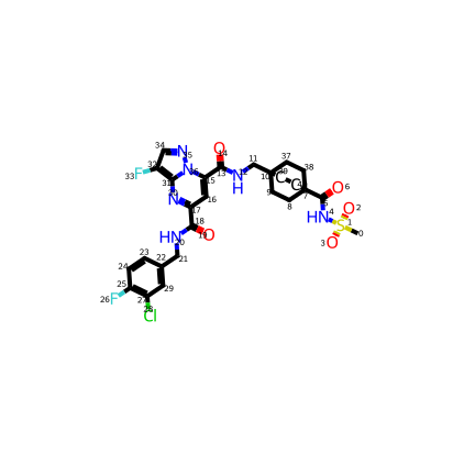 CS(=O)(=O)NC(=O)C12CCC(CNC(=O)c3cc(C(=O)NCc4ccc(F)c(Cl)c4)nc4c(F)cnn34)(CC1)CC2